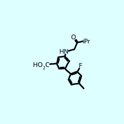 Cc1ccc(-c2cc(NCC(=O)C(C)C)cc(C(=O)O)c2)c(F)c1